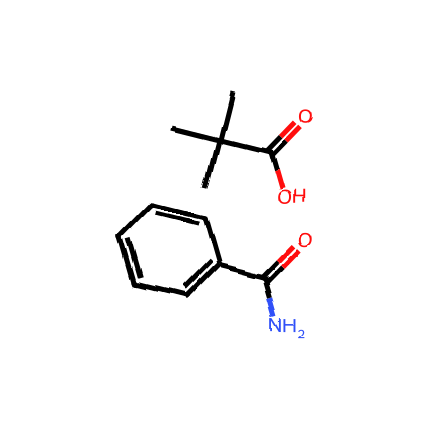 CC(C)(C)C(=O)O.NC(=O)c1ccccc1